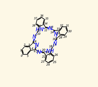 c1ccc2c(c1)C1=NC/2=N\C2N/C(=N\C3=NC(=N\C4N/C(=N\1)c1ccccc14)/c1ccccc13)c1ccccc12